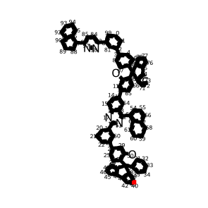 c1cc(-c2ccc3c(c2)Oc2cc(-c4ccc5nc(-c6cccc(-c7ccc8c(c7)Oc7ccccc7C87c8ccccc8-c8ccccc87)c6)nc(-c6cccc7ccccc67)c5c4)ccc2C32c3ccccc3-c3ccccc32)cc(-c2ccc(-c3cccc4ccccc34)nn2)c1